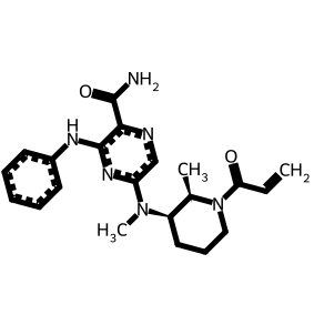 C=CC(=O)N1CCC[C@@H](N(C)c2cnc(C(N)=O)c(Nc3ccccc3)n2)[C@H]1C